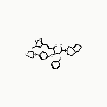 Cc1cc(C=CC(=O)N(Cc2ccc(N3CCOCC3)cc2)[C@@H](Cc2ccccc2)C(=O)N2CCc3ccccc3C2)no1